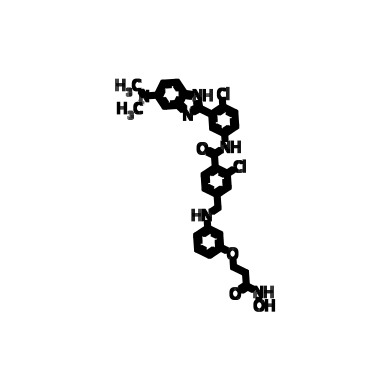 CN(C)c1ccc2[nH]c(-c3cc(NC(=O)c4ccc(CNc5cccc(OCCC(=O)NO)c5)cc4Cl)ccc3Cl)nc2c1